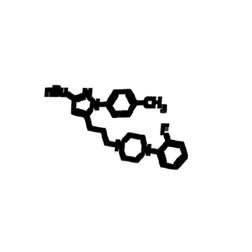 CCCCc1cc(CCCN2CCN(c3ccccc3F)CC2)n(-c2ccc(C)cc2)n1